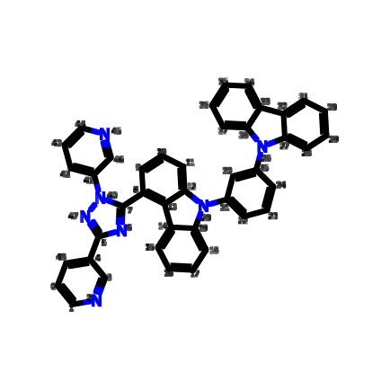 c1cncc(-c2nc(-c3cccc4c3c3ccccc3n4-c3cccc(-n4c5ccccc5c5ccccc54)c3)n(-c3cccnc3)n2)c1